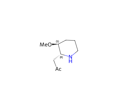 CO[C@H]1CCCN[C@@H]1CC(C)=O